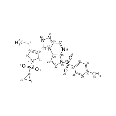 CC[C@H]1CN(S(=O)(=O)C2CC2)C[C@H]1c1nnc2cnc3c(ccn3S(=O)(=O)c3ccc(C)cc3)n12